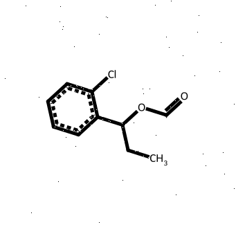 CCC(O[C]=O)c1ccccc1Cl